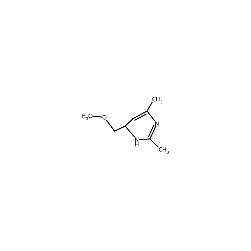 COCC1C=C(C)N=C(C)N1